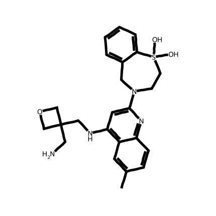 Cc1ccc2nc(N3CCS(O)(O)c4ccccc4C3)cc(NCC3(CN)COC3)c2c1